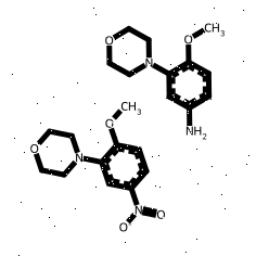 COc1ccc(N)cc1N1CCOCC1.COc1ccc([N+](=O)[O-])cc1N1CCOCC1